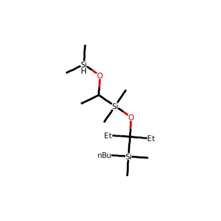 CCCC[Si](C)(C)C(CC)(CC)O[Si](C)(C)C(C)O[SiH](C)C